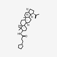 C=C(C)[C@@H]1CC[C@@H]2CC[C@]3(C)[C@H](CC[C@@H]4[C@@]5(C)CCC(NC(=O)CCN6CCCC6)C(C)(C)[C@@H]5CC[C@]43C)[C@H]21